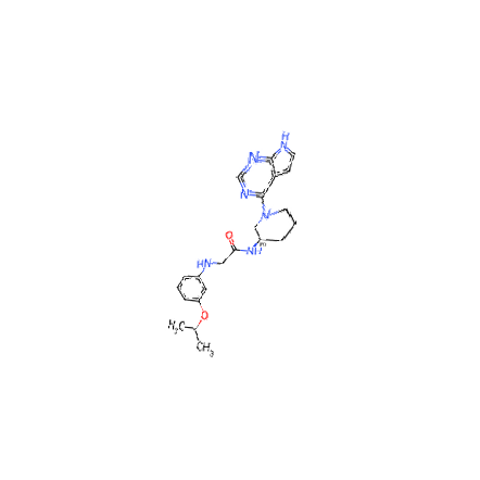 CC(C)Oc1cccc(NCC(=O)N[C@@H]2CCCN(c3ncnc4[nH]ccc34)C2)c1